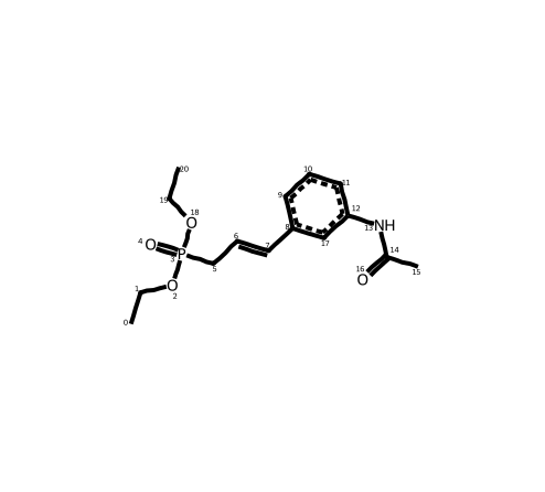 CCOP(=O)(CC=Cc1cccc(NC(C)=O)c1)OCC